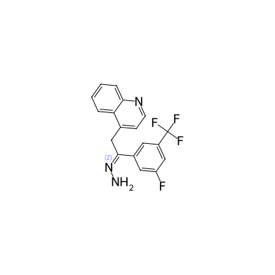 N/N=C(/Cc1ccnc2ccccc12)c1cc(F)cc(C(F)(F)F)c1